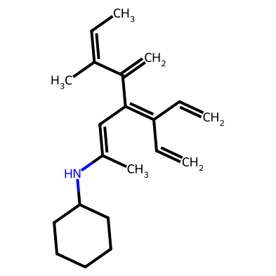 C=CC(C=C)=C(/C=C(\C)NC1CCCCC1)C(=C)/C(C)=C\C